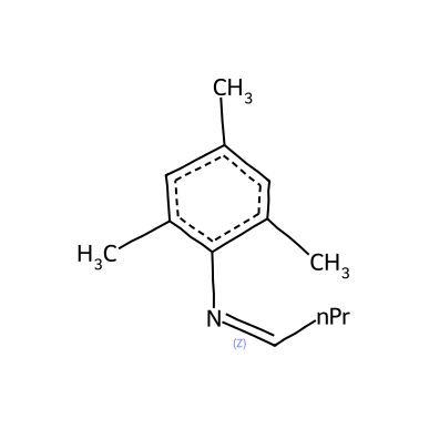 CCC/C=N\c1c(C)cc(C)cc1C